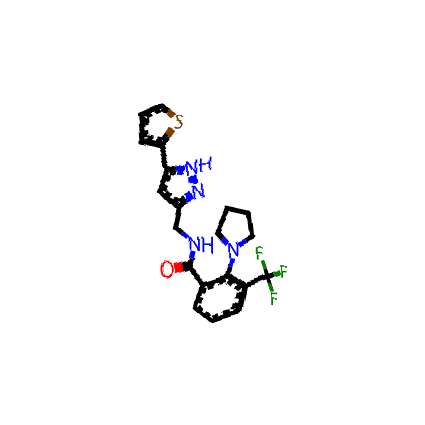 O=C(NCc1cc(-c2cccs2)[nH]n1)c1cccc(C(F)(F)F)c1N1CCCC1